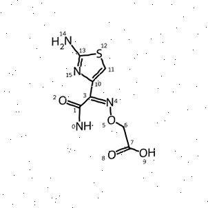 [NH]C(=O)/C(=N\OCC(=O)O)c1csc(N)n1